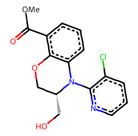 COC(=O)c1cccc2c1OC[C@@H](CO)N2c1ncccc1Cl